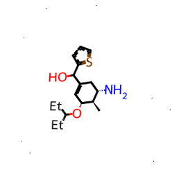 CCC(CC)O[C@@H]1C=C(C(O)c2cccs2)C[C@H](N)[C@H]1C